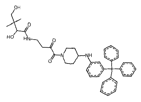 CC(C)(CO)C(O)C(=O)NCCC(=O)C(=O)N1CCC(Nc2cccc(C(c3ccccc3)(c3ccccc3)c3ccccc3)c2)CC1